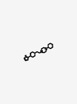 C1=CCC(N2CCN(CCC3CC=C(c4cccs4)CC3)CC2)CC1